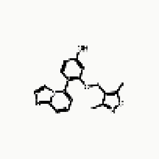 Cc1noc(C)c1COc1cc(O)ccc1-c1cccc2nccn12